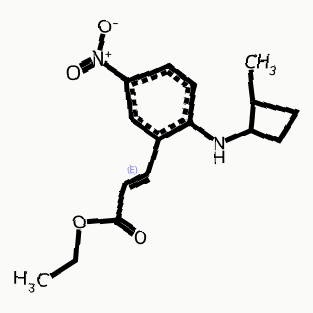 CCOC(=O)/C=C/c1cc([N+](=O)[O-])ccc1NC1CCC1C